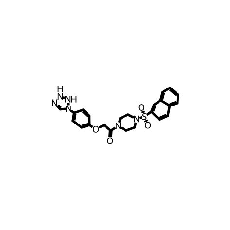 O=C(COc1ccc(N2C=NNN2)cc1)N1CCN(S(=O)(=O)c2ccc3ccccc3c2)CC1